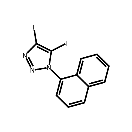 Ic1nnn(-c2cccc3ccccc23)c1I